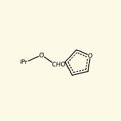 CC(C)OC=O.c1ccoc1